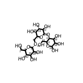 OCC1O[C@H](OCC2O[C@H](O[C@@H]3C(CO)OC(O)C(O)C3O)C(O)[C@@H](O)[C@@H]2O)C(O)C(O)[C@@H]1O